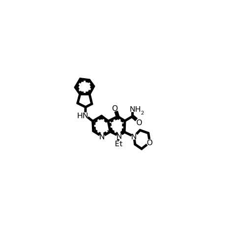 CCn1c(N2CCOCC2)c(C(N)=O)c(=O)c2cc(NC3Cc4ccccc4C3)cnc21